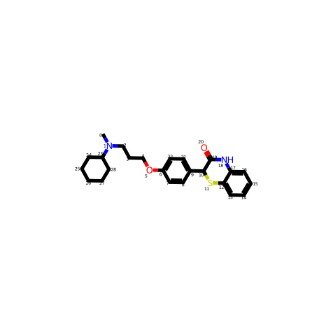 CN(CCCOc1ccc(C2Sc3ccccc3NC2=O)cc1)C1CCCCC1